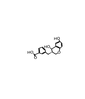 O=C(O)c1cccc(C[C@@H]2COc3ccc(O)cc3[C@@H]2O)c1